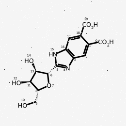 O=C(O)c1cc2nc([C@@H]3O[C@H](CO)[C@@H](O)[C@H]3O)[nH]c2cc1C(=O)O